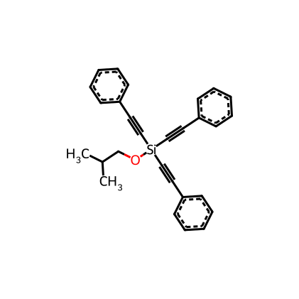 CC(C)CO[Si](C#Cc1ccccc1)(C#Cc1ccccc1)C#Cc1ccccc1